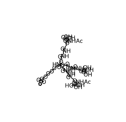 CC(=O)N[C@H]1[C@H](OCCCCC(=O)NCCCNC(=O)CCOCC(COCCC(=O)NCCCNC(=O)CCCCOC2O[C@H](CO)[C@H](O)[C@H](O)[C@H]2NC(C)=O)(COCCC(=O)NCCCNC(=O)CCCCO[C@@H]2O[C@H](CO)[C@H](O)[C@H](O)[C@H]2NC(C)=O)NC(=O)CCOCCOCCOCCOCCON2C(=O)c3ccccc3C2=O)O[C@H](CO)[C@H](O)[C@@H]1O